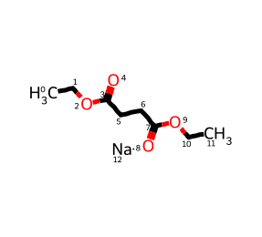 CCOC(=O)CCC(=O)OCC.[Na]